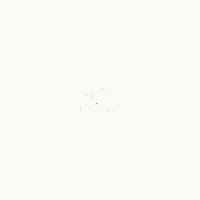 C=CCCCC.CC=CCC